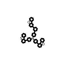 c1cc(-c2ccc(N(c3ccc(-c4cccc5oc6ccccc6c45)cc3)c3ccc(-c4cccc5sc6ccccc6c45)cc3)cc2)cc(-c2ccc3oc4ccccc4c3c2)c1